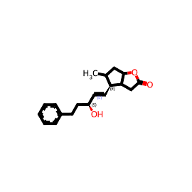 CC1CC2OC(=O)CC2[C@H]1/C=C/[C@@H](O)CCc1ccccc1